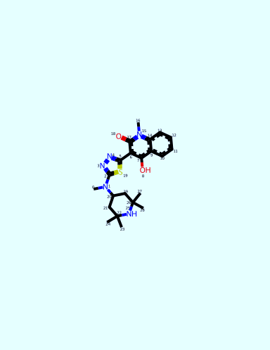 CN(c1nnc(-c2c(O)c3ccccc3n(C)c2=O)s1)C1CC(C)(C)NC(C)(C)C1